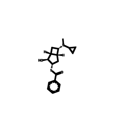 CN(C1CC1)[C@H]1C[C@H]2[C@H](O)[C@@H](SC(=O)c3ccccc3)C[C@H]21